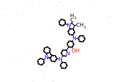 CC1c2cc(N(c3ccccc3)c3ccc(-c4ccc(N(c5ccccc5)c5ccc6c(c5)c5ccccc5n6-c5ccccc5)cn4)c(O)c3)ccc2N(c2ccccc2)C1C